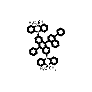 C[Si]1(C)c2ccccc2N(c2ccc3c(-c4ccc(-c5ccccc5)c5ccccc45)c4cc(N5c6ccccc6[Si](C)(C)c6ccccc65)ccc4c(-c4ccccc4)c3c2)c2ccccc21